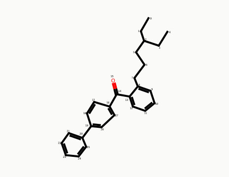 CCC(CC)CCCc1ccccc1C(=O)c1ccc(-c2ccccc2)cc1